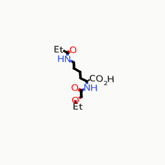 CCOCC(=O)N[C@@H](CCCCNC(=O)CC)C(=O)O